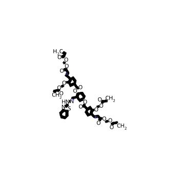 C=CC(=O)OCOC(=O)/C=C/c1ccc(C(=O)Oc2ccc(OC(=O)c3ccc(/C=C/C(=O)OCOC(=O)C=C)c(OCOC(=O)C=C)c3)c(/C=N/Nc3nc4ccccc4s3)c2)cc1OCOC(=O)C=C